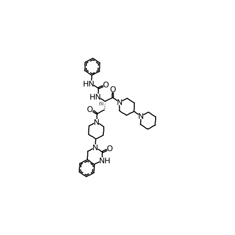 O=C(Nc1ccccc1)N[C@@H](CC(=O)N1CCC(N2Cc3ccccc3NC2=O)CC1)C(=O)N1CCC(N2CCCCC2)CC1